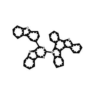 c1ccc2c(c1)oc1ccc(-c3nc(-n4c5ccccc5c5c6c7ccccc7sc6c6ccccc6c54)nc4c3sc3ccccc34)cc12